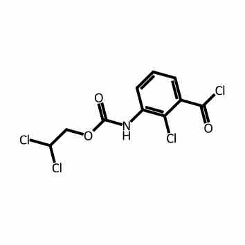 O=C(Nc1cccc(C(=O)Cl)c1Cl)OCC(Cl)Cl